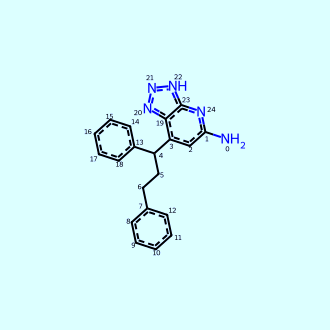 Nc1cc(C(CCc2ccccc2)c2ccccc2)c2nn[nH]c2n1